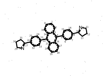 c1ccc2c(-c3ccc(C4=NCCC4)cc3)c3ccccc3c(-c3ccc(C4=NCCC4)cc3)c2c1